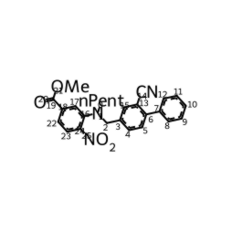 CCCCCN(Cc1ccc(-c2ccccc2)c(C#N)c1)c1cc(C(=O)OC)ccc1[N+](=O)[O-]